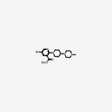 COC(=O)c1cc(Br)cnc1N1CCC(N2CCN(C)CC2)CC1